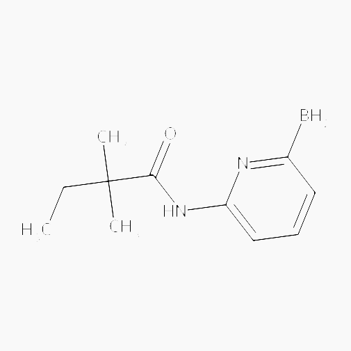 Bc1cccc(NC(=O)C(C)(C)CC)n1